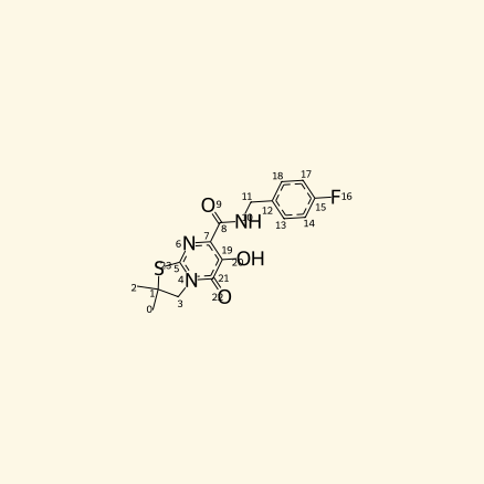 CC1(C)Cn2c(nc(C(=O)NCc3ccc(F)cc3)c(O)c2=O)S1